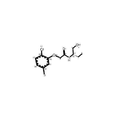 CC[C@@H](CO)NC(=O)COc1cc(C)ccc1Cl